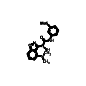 CSc1cccc(NC(=O)N(S)c2noc3cccc(N(C)C)c23)c1